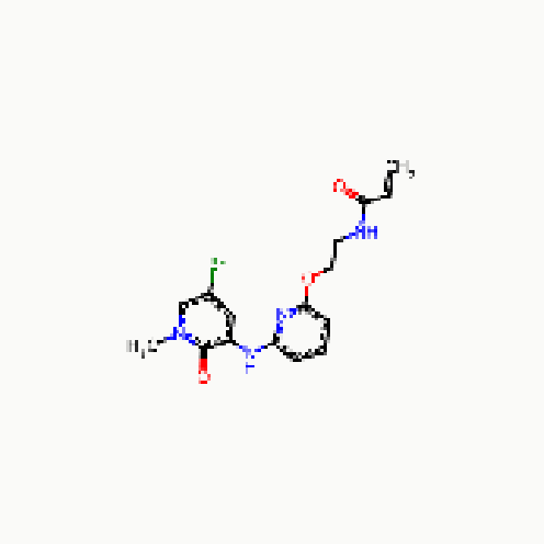 C=CC(=O)NCCOc1cccc(Nc2cc(Br)cn(C)c2=O)n1